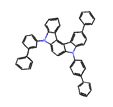 c1ccc(-c2ccc(-n3c4ccc(-c5ccccc5)cc4c4c5c6ccccc6n(-c6cccc(-c7ccccc7)c6)c5ccc43)cc2)cc1